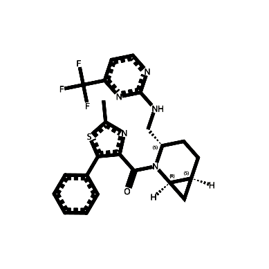 Cc1nc(C(=O)N2[C@H](CNc3nccc(C(F)(F)F)n3)CC[C@H]3C[C@H]32)c(-c2ccccc2)s1